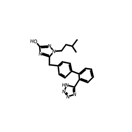 CC(C)CCn1nc(O)nc1Cc1ccc(-c2ccccc2-c2nnn[nH]2)cc1